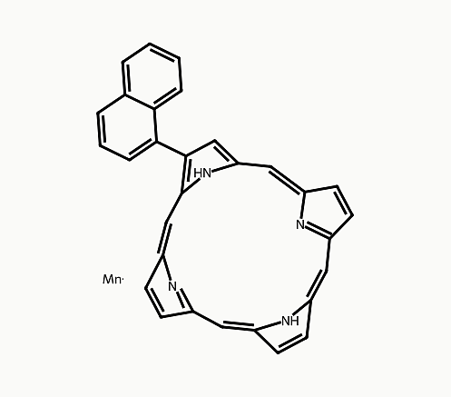 C1=Cc2cc3cc(-c4cccc5ccccc45)c(cc4nc(cc5ccc(cc1n2)[nH]5)C=C4)[nH]3.[Mn]